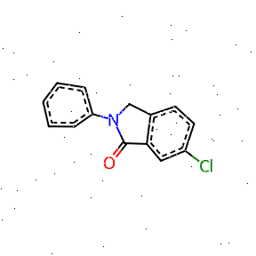 O=C1c2cc(Cl)ccc2CN1c1ccccc1